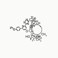 CC(C)Oc1ccc(-c2cc(O[C@@H]3C[C@H]4C(=O)N[C@]5(C(=O)NS(=O)(=O)C6(C)CC6)C[C@H]5C=CCC[C@H](C)C[C@@H](C)[C@H](N(C(=O)O)C(C)(C)C(F)(F)F)C(=O)N4C3)cc(-c3ncccn3)n2)cc1